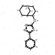 c1ccc(-c2nnc(OC3CCN4CCCC3C4)s2)cc1